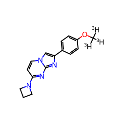 [3H]C([3H])([3H])Oc1ccc(-c2cn3ccc(N4CCC4)nc3n2)cc1